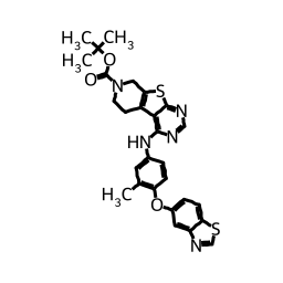 Cc1cc(Nc2ncnc3sc4c(c23)CCN(C(=O)OC(C)(C)C)C4)ccc1Oc1ccc2scnc2c1